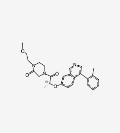 COCCN1CCN(C(=O)[C@@H](C)Oc2ccc3c(-c4ccccc4C)cncc3c2)CC1=O